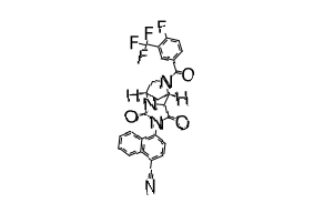 N#Cc1ccc(N2C(=O)C3[C@@H]4C[C@@H](CN4C(=O)c4ccc(F)c(C(F)(F)F)c4)N3C2=O)c2ccccc12